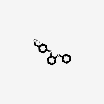 CCc1ccc(Sc2ccccc2Oc2ccccc2)cc1